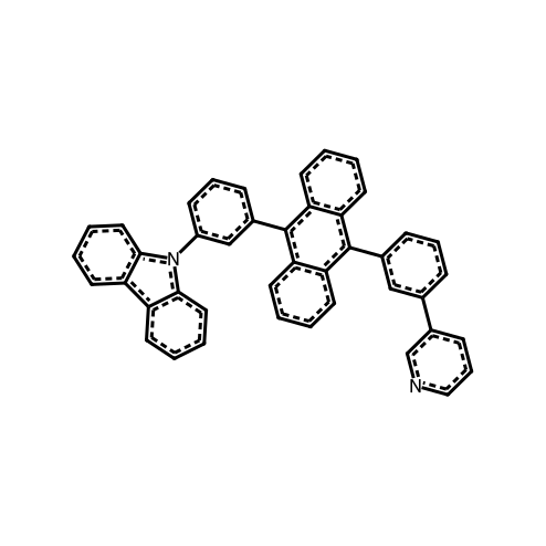 c1cncc(-c2cccc(-c3c4ccccc4c(-c4cccc(-n5c6ccccc6c6ccccc65)c4)c4ccccc34)c2)c1